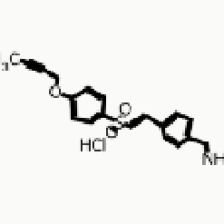 CC#CCOc1ccc(S(=O)(=O)/C=C/c2ccc(CN)cc2)cc1.Cl